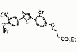 [C-]#[N+]c1cc(-c2ncc(-c3ccc(OCCCC(=O)OCC)cc3CC)s2)ccc1OC(C)C